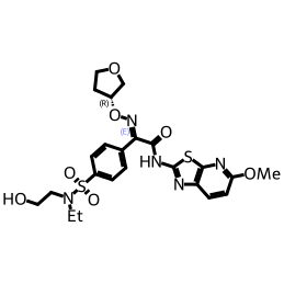 CCN(CCO)S(=O)(=O)c1ccc(/C(=N\O[C@@H]2CCOC2)C(=O)Nc2nc3ccc(OC)nc3s2)cc1